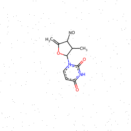 C=C1OC(n2ccc(=O)[nH]c2=O)C(C)C1N=O